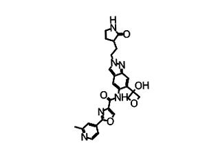 Cc1cc(-c2nc(C(=O)Nc3cc4cn(CCC5CCNC5=O)nc4cc3C3(O)COC3)co2)ccn1